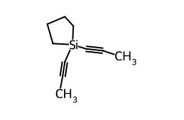 CC#C[Si]1(C#CC)CCCC1